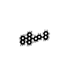 c1ccc2c(-c3ccc4cc(-c5c6ccccc6c(-c6cccc7ccccc67)c6ccccc56)ccc4c3)cccc2c1